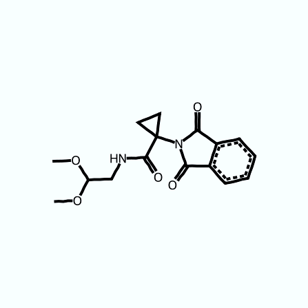 COC(CNC(=O)C1(N2C(=O)c3ccccc3C2=O)CC1)OC